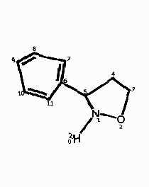 [2H]N1OCCC1c1ccccc1